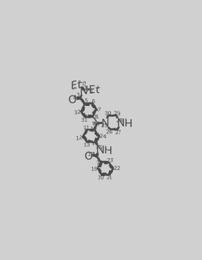 CCN(CC)C(=O)c1ccc([C@H](c2cccc(NC(=O)c3ccccc3)c2)N2CCNCC2)cc1